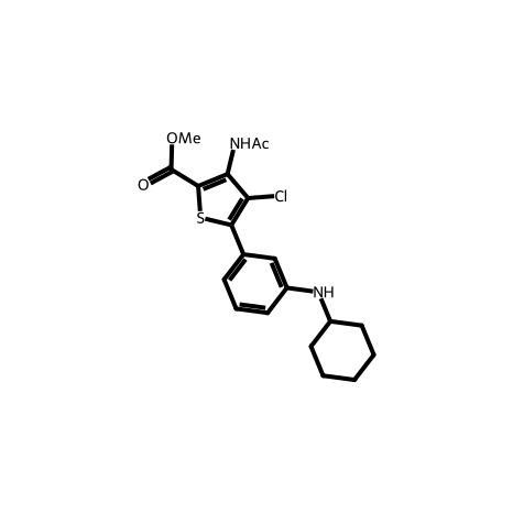 COC(=O)c1sc(-c2cccc(NC3CCCCC3)c2)c(Cl)c1NC(C)=O